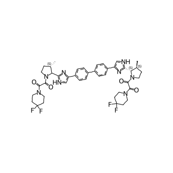 C[C@H]1CCN(C(=O)C(=O)N2CCC(F)(F)CC2)C1c1nc(-c2ccc(-c3ccc(-c4c[nH]c([C@@H]5[C@@H](C)CCN5C(=O)C(=O)N5CCC(F)(F)CC5)n4)cc3)cc2)c[nH]1